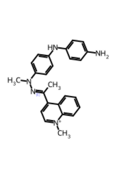 C/C(=N\N(C)c1ccc(Nc2ccc(N)cc2)cc1)c1cc[n+](C)c2ccccc12